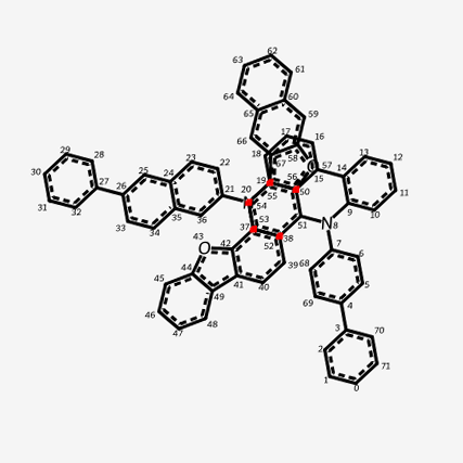 c1ccc(-c2ccc(N(c3ccccc3-c3cccc(N(c4ccc5cc(-c6ccccc6)ccc5c4)c4cccc5c4oc4ccccc45)c3)c3cccc4c3oc3cc5ccccc5cc34)cc2)cc1